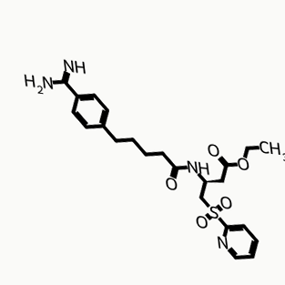 CCOC(=O)C[C@@H](CS(=O)(=O)c1ccccn1)NC(=O)CCCCc1ccc(C(=N)N)cc1